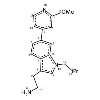 COc1cc(-c2ccc3c(CCN)cn(CC(C)C)c3c2)ccn1